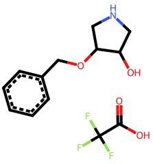 O=C(O)C(F)(F)F.OC1CNCC1OCc1ccccc1